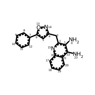 Nc1c(Cc2cc(-c3ccccc3)on2)nc2ccccc2c1N